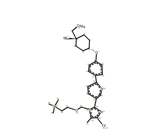 COC[C@]1(C(C)(C)C)CC[C@H](Oc2ccc(-c3ccc(-c4nc(C(F)(F)F)c(C)n4COCC[Si](C)(C)C)cn3)cc2)CC1